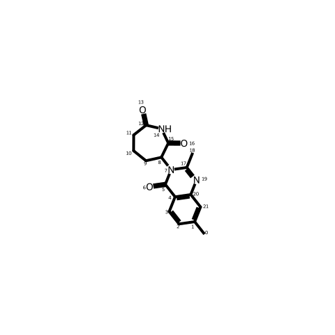 Cc1ccc2c(=O)n(C3CCCC(=O)NC3=O)c(C)nc2c1